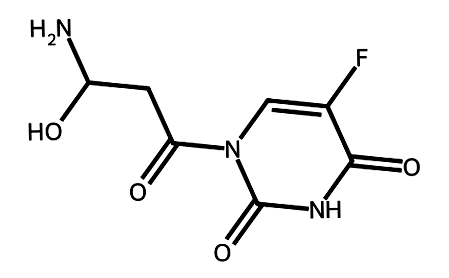 NC(O)CC(=O)n1cc(F)c(=O)[nH]c1=O